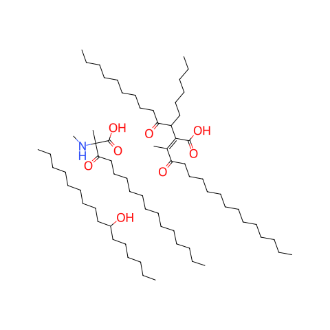 CCCCCCCCCC(O)CCCCCC.CCCCCCCCCCCCCC(=O)C(C)(NC)C(=O)O.CCCCCCCCCCCCCC(=O)C(C)=C(C(=O)O)C(CCCCCC)C(=O)CCCCCCCCC